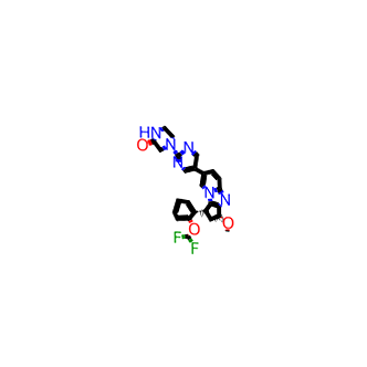 CO[C@@H]1C[C@H](c2ccccc2OC(F)F)c2c1nc1ccc(-c3cnc(N4CCNC(=O)C4)nc3)cn21